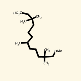 COCC(C)(C)CCCC(C)CCCC(C)(C)CC(=O)O